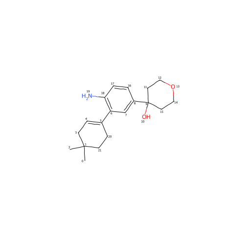 CC1(C)CC=C(c2cc(C3(O)CCOCC3)ccc2N)CC1